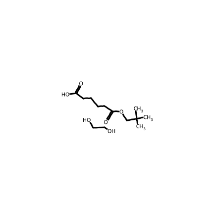 CC(C)(C)COC(=O)CCCCC(=O)O.OCCO